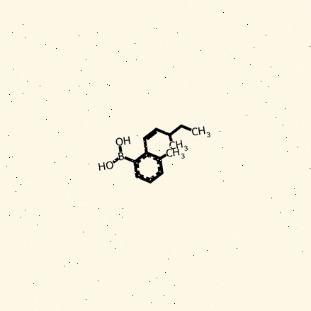 CCC(C)/C=C\c1c(C)cccc1B(O)O